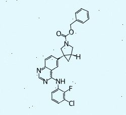 O=C(OCc1ccccc1)N1C[C@@H]2C[C@]2(c2ccc3ncnc(Nc4cccc(Cl)c4F)c3c2)C1